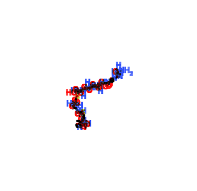 CCCC(=O)OCN(CCCc1nc(C(=O)NCC[C@H](C)C(=O)NNC(=O)OCCSSC[C@@H](NC(=O)CNC(=O)CNC(=O)CNC(=O)CNC(=O)CNC(=O)CC[C@@H](NC(=O)c2ccc(NCc3cnc4nc(N)[nH]c(=O)c4n3)cc2)C(=O)O)C(=O)O)cs1)C(=O)[C@@H](NC(=O)[C@H]1CCCCCN1C)C(C)CC